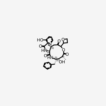 C[C@H]1CC(=O)C(C2CCO2)OC(=O)[C@H](C)[C@H](O)[C@H](Cc2ccccc2)NC(=O)[C@H]1NC(=O)c1ncccc1O